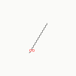 CCCCCCCCCCCCCCCCCCCCCC(=O)OCC